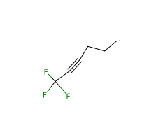 [CH2]CCC#CC(F)(F)F